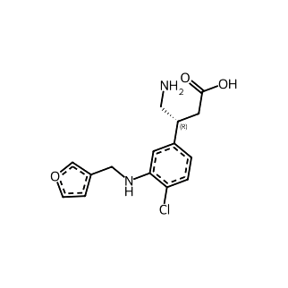 NC[C@H](CC(=O)O)c1ccc(Cl)c(NCc2ccoc2)c1